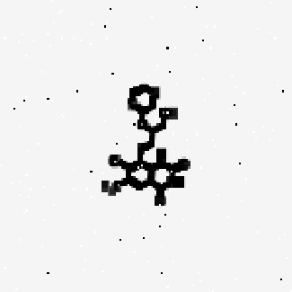 O=c1[nH]c(=O)c2cc(C(F)(F)F)c(Cl)c(SCC(CO)Oc3cnccn3)c2[nH]1